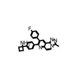 Cc1nnc2c3cc(-c4ccc(F)cc4)c(-c4ccc(C5(N)CCC5)cc4)nc3ccn12